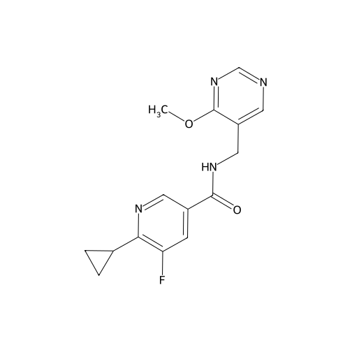 COc1ncncc1CNC(=O)c1cnc(C2CC2)c(F)c1